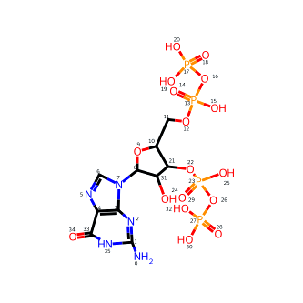 Nc1nc2c(ncn2C2OC(COP(=O)(O)OP(=O)(O)O)C(OP(=O)(O)OP(=O)(O)O)C2O)c(=O)[nH]1